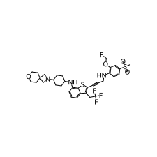 CS(=O)(=O)c1ccc(NCC#Cc2sc3c(NC4CCC(N5CC6(CCOCC6)C5)CC4)cccc3c2CC(F)(F)F)c(OCF)c1